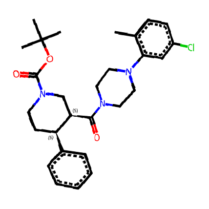 Cc1ccc(Cl)cc1N1CCN(C(=O)[C@@H]2CN(C(=O)OC(C)(C)C)CC[C@@H]2c2ccccc2)CC1